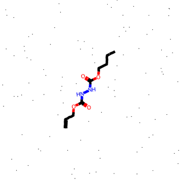 C=CCOC(=O)NNC(=O)OCCCC